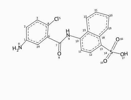 Nc1ccc(Cl)c(C(=O)Nc2ccc(S(=O)(=O)O)c3ccccc23)c1